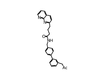 CC(=O)Cc1cccc(-c2ccc(CNC(=O)CCCc3ccc4cccnc4n3)cc2)c1